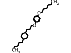 CCCCCCOc1ccc(OCCCC2CCC(CCCCC)CC2)cc1